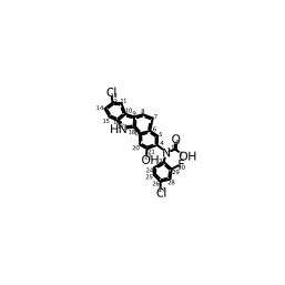 O=C(O)N(c1cc2ccc3c4cc(Cl)ccc4[nH]c3c2cc1O)c1ccc(Cl)cc1F